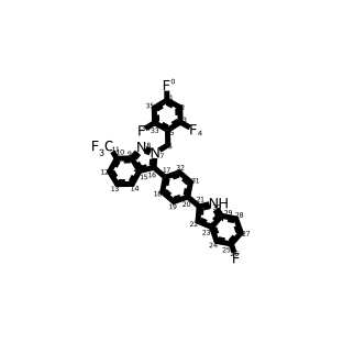 Fc1cc(F)c(Cn2nc3c(C(F)(F)F)cccc3c2-c2ccc(-c3cc4cc(F)ccc4[nH]3)cc2)c(F)c1